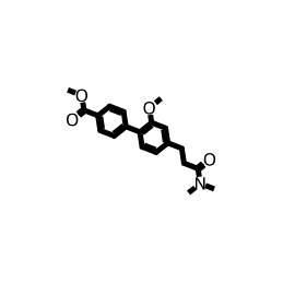 COC(=O)c1ccc(-c2ccc(CCC(=O)N(C)C)cc2OC)cc1